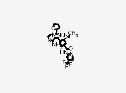 CCOc1cc(C(=O)Nc2cc(C(F)(F)F)ccn2)ccc1C1=C2C(N)=NC=CN2C(C2CCCO2)N1